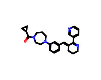 O=C(C1CC1)N1CCCN(c2cccc(/C=C3\CCCN=C3c3cccnc3)c2)CC1